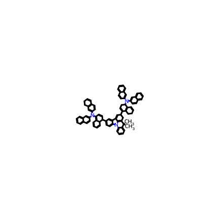 CC1(C)C2=c3c(c4cc(C5C=CC(N(c6ccc7c(c6)CCC=C7)c6ccc7ccccc7c6)=C6C=CC=CC65)ccc4n3-c3ccccc31)=CC(C1=CCC(N(c3ccc4ccccc4c3)c3ccc4ccccc4c3)C3=C1CCC=C3)C2